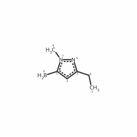 Bc1cc(CC)nn1C